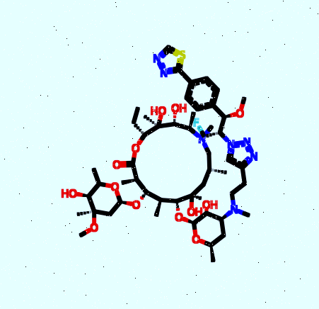 CC[C@H]1OC(=O)[C@H](C)[C@@H](O[C@H]2C[C@@](C)(OC)[C@@H](O)C(C)O2)[C@H](C)[C@@H](O[C@@H]2O[C@H](C)C[C@H](N(C)CCc3cn([C@H](CF)[C@H](OC)c4ccc(-c5nncs5)cc4)nn3)[C@H]2O)[C@](C)(O)C[C@@H](C)CN(C)[C@H](C)[C@@H](O)[C@]1(C)O